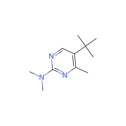 Cc1nc(N(C)C)ncc1C(C)(C)C